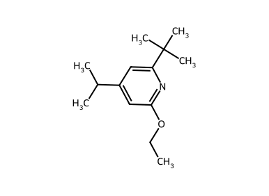 CCOc1cc(C(C)C)cc(C(C)(C)C)n1